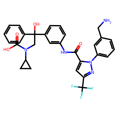 NCc1cccc(-n2nc(C(F)(F)F)cc2C(=O)Nc2cccc(C(O)(CN(C(=O)O)C3CC3)c3ccccc3)c2)c1